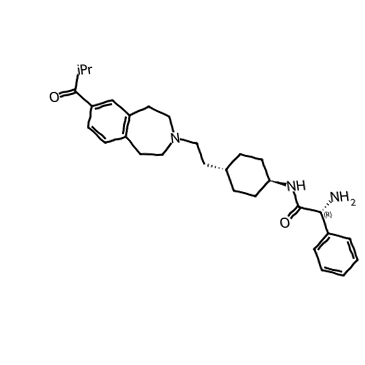 CC(C)C(=O)c1ccc2c(c1)CCN(CC[C@H]1CC[C@H](NC(=O)[C@H](N)c3ccccc3)CC1)CC2